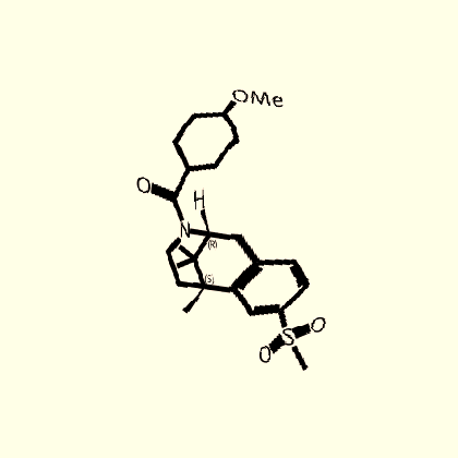 COC1CCC(C(=O)N2CC[C@@]3(C)c4cc(S(C)(=O)=O)ccc4C[C@@H]2C3(C)C)CC1